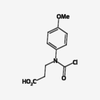 COc1ccc(N(CCC(=O)O)C(=O)Cl)cc1